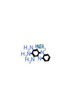 Cl.Nc1c(N)c(N)c2nc3ccccc3nc2c1N